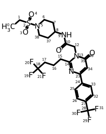 CCS(=O)(=O)N1CCC(NC(=O)Cn2c(CCCC(F)(F)F)nc(-c3ccc(C(F)(F)F)cc3)cc2=O)CC1